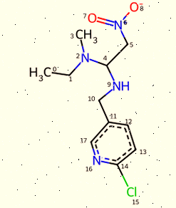 CCN(C)C(C[N+](=O)[O-])NCc1ccc(Cl)nc1